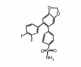 NS(=O)(=O)c1ccc(-c2cc3c(cc2-c2ccc(F)c(F)c2)OCO3)cc1